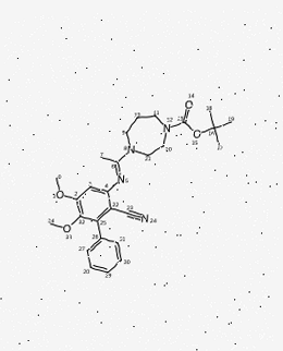 COc1cc(N=C(C)N2CCCN(C(=O)OC(C)(C)C)CC2)c(C#N)c(-c2ccccc2)c1OC